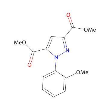 COC(=O)c1cc(C(=O)OC)n(-c2ccccc2OC)n1